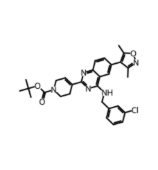 Cc1noc(C)c1-c1ccc2nc(C3=CCN(C(=O)OC(C)(C)C)CC3)nc(NCc3cccc(Cl)c3)c2c1